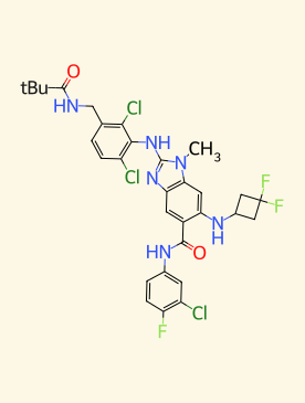 Cn1c(Nc2c(Cl)ccc(CNC(=O)C(C)(C)C)c2Cl)nc2cc(C(=O)Nc3ccc(F)c(Cl)c3)c(NC3CC(F)(F)C3)cc21